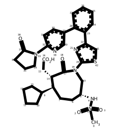 CS(=O)(=O)N[C@@H]1CC[C@@H](C2CCCC2)[C@H](CC(=O)O)C(=O)N(c2nc(-c3ccccc3-c3ccc(N4CCCC4=O)nc3)cs2)C1